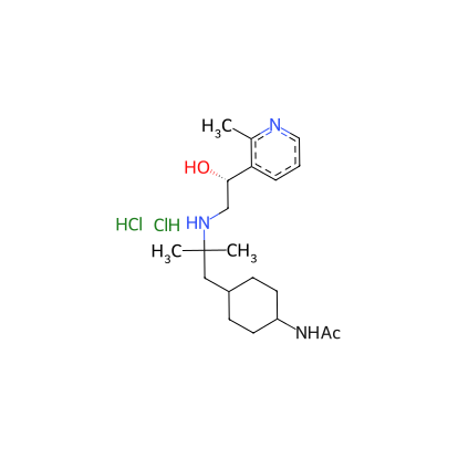 CC(=O)NC1CCC(CC(C)(C)NC[C@H](O)c2cccnc2C)CC1.Cl.Cl